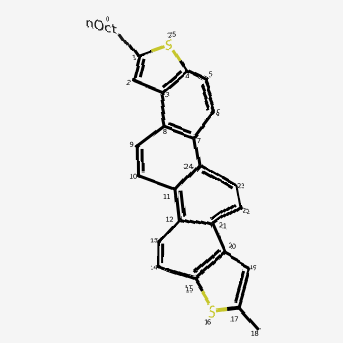 CCCCCCCCc1cc2c(ccc3c2ccc2c4ccc5sc(C)cc5c4ccc32)s1